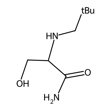 CC(C)(C)CNC(CO)C(N)=O